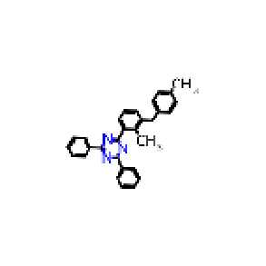 Cc1ccc(Cc2cccc(-c3nc(-c4ccccc4)nc(-c4ccccc4)n3)c2C)cc1